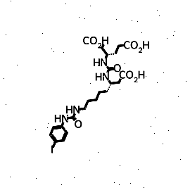 O=C(O)CC[C@@H](CC(=O)O)NC(=O)N[C@@H](CCCCCNC(=O)Nc1ccc(I)cc1)CC(=O)O